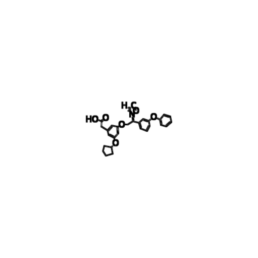 CON=C(COc1cc(CC(=O)O)cc(OC2CCCC2)c1)c1cccc(Oc2ccccc2)c1